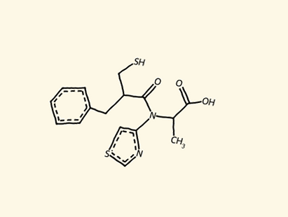 CC(C(=O)O)N(C(=O)C(CS)Cc1ccccc1)c1cscn1